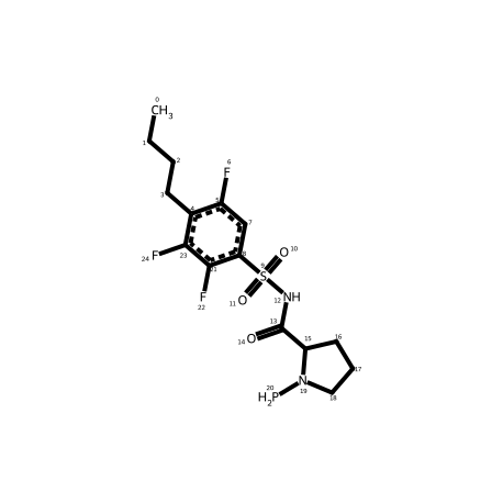 CCCCc1c(F)cc(S(=O)(=O)NC(=O)C2CCCN2P)c(F)c1F